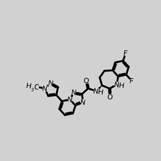 Cn1cc(-c2cccc3nc(C(=O)N[C@H]4CCc5cc(F)cc(F)c5NC4=O)nn23)cn1